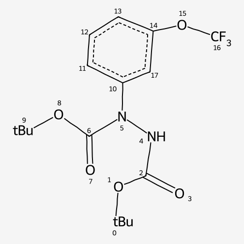 CC(C)(C)OC(=O)NN(C(=O)OC(C)(C)C)c1cccc(OC(F)(F)F)c1